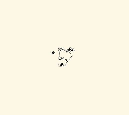 CCCCCCCCC.CN.F